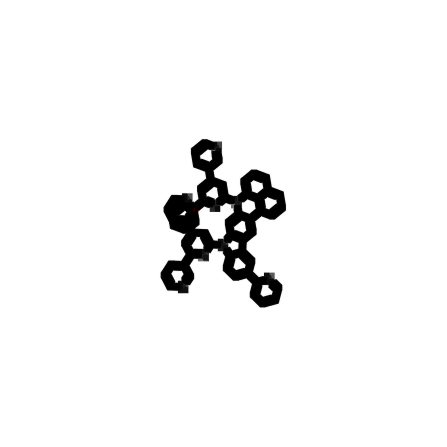 c1ccc(-c2cc(-c3cccnc3)cc(N3c4cc5c(cc4-c4cccc6cccc3c46)c3cc(-c4ccccn4)ccc3n5-c3cc(-c4cccnc4)cc(-c4cccnc4)n3)n2)cc1